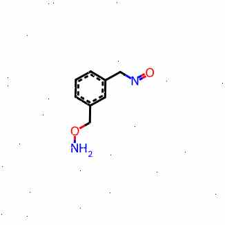 NOCc1cccc(CN=O)c1